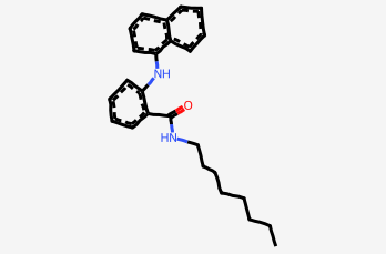 CCCCCCCCNC(=O)c1ccccc1Nc1cccc2ccccc12